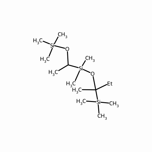 CCC(C)(O[Si](C)(C)C(C)O[Si](C)(C)C)[Si](C)(C)C